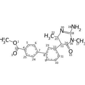 COC(=O)c1ccc(-c2cccc(C3C(=O)N(C)C(N)=NC3C)c2)cc1